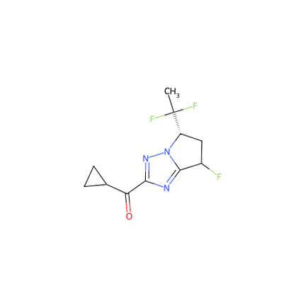 CC(F)(F)[C@@H]1CC(F)c2nc(C(=O)C3CC3)nn21